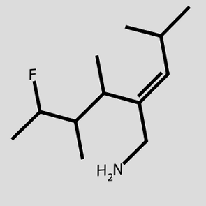 CC(C)/C=C(/CN)C(C)C(C)C(C)F